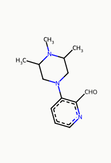 CC1CN(c2cccnc2C=O)CC(C)N1C